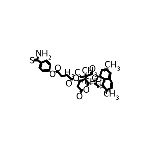 CCC(C)(C)C(=O)O[C@H]1C[C@@H](C)C=C2C=C[C@H](C)[C@H](CC[C@H]3C[C@H](OC(=O)CCC(=O)Oc4ccc(C(N)=S)cc4)CC(=O)O3)[C@H]21